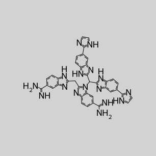 N=C(N)c1ccc2[nH]c(Cc3nc4ccc(C(=N)N)cc4n3C(c3nc4cc(-c5ncc[nH]5)ccc4[nH]3)c3nc4cc(-c5ncc[nH]5)ccc4[nH]3)nc2c1